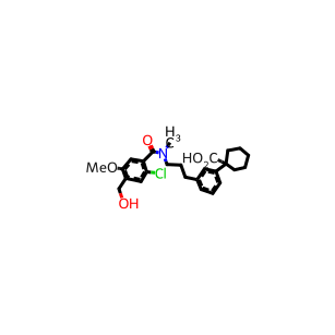 COc1cc(C(=O)N(C)CCCc2cccc(C3(C(=O)O)CCCCC3)c2)c(Cl)cc1CO